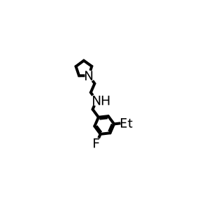 CCc1cc(F)cc(CNCCN2CCCC2)c1